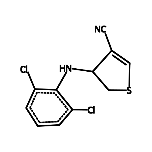 N#CC1=CSCC1Nc1c(Cl)cccc1Cl